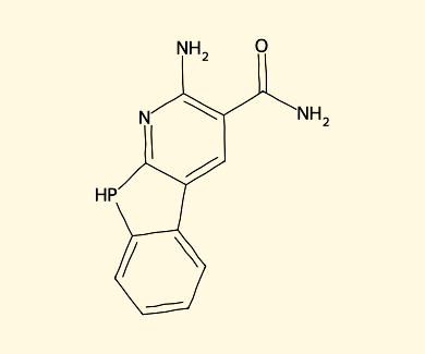 NC(=O)c1cc2c(nc1N)[pH]c1ccccc12